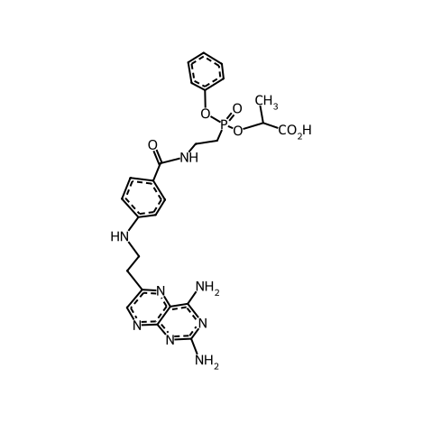 CC(OP(=O)(CCNC(=O)c1ccc(NCCc2cnc3nc(N)nc(N)c3n2)cc1)Oc1ccccc1)C(=O)O